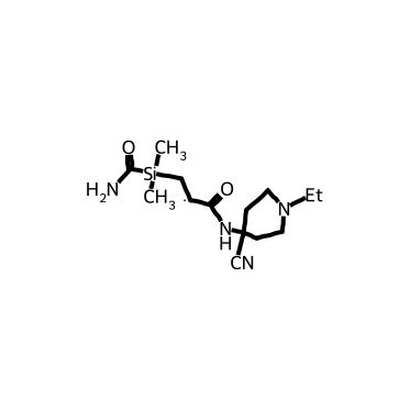 CCN1CCC(C#N)(NC(=O)[CH]C[Si](C)(C)C(N)=O)CC1